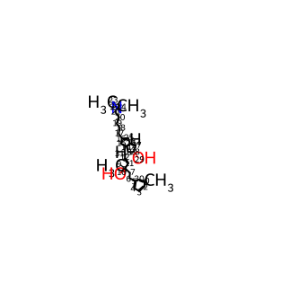 Cc1cccc(CC[C@](C)(O)/C=C/[C@@H]2[C@H]3CC(CCCCCN(C)C)=C[C@H]3C[C@H]2O)c1